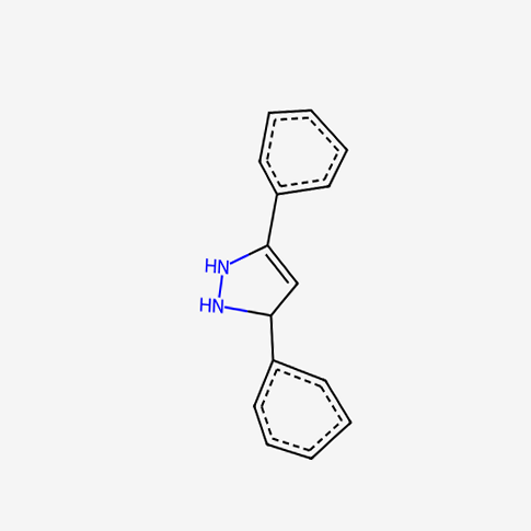 C1=C(c2ccccc2)NNC1c1ccccc1